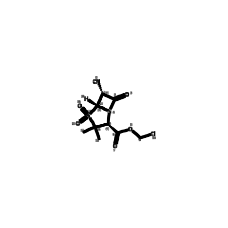 [C-]#[N+][C@@H]1C(=O)N2[C@@H](C(=O)OCCl)C(C)(C)S(=O)(=O)[C@H]12